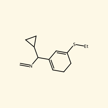 C=NC(C1=CCCC(SCC)=C1)C1CC1